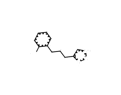 Oc1ccccc1CCCc1c[nH]nn1